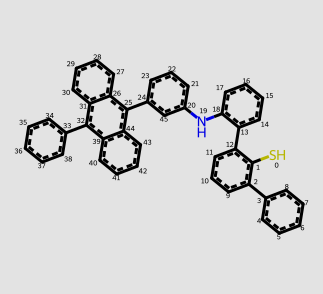 Sc1c(-c2ccccc2)cccc1-c1ccccc1Nc1cccc(-c2c3ccccc3c(-c3ccccc3)c3ccccc23)c1